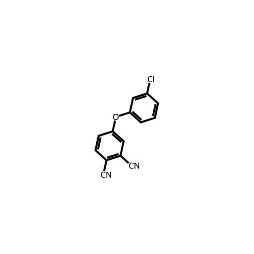 N#Cc1ccc(Oc2cccc(Cl)c2)cc1C#N